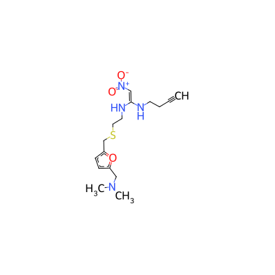 C#CCCN/C(=C/[N+](=O)[O-])NCCSCc1ccc(CN(C)C)o1